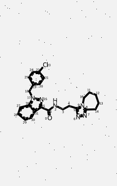 O=C(NCCc1nnc2n1CCCCC2)c1nn(Cc2ccc(Cl)cc2)c2ccccc12